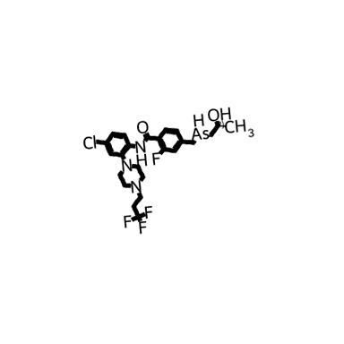 C[C@@H](O)C[AsH]Cc1ccc(C(=O)Nc2ccc(Cl)cc2N2CCN(CCC(F)(F)F)CC2)c(F)c1